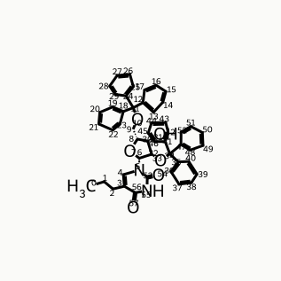 CCCc1cn([C@@H]2O[C@H](COC(c3ccccc3)(c3ccccc3)c3ccccc3)[C@@H](O)[C@H]2OC(c2ccccc2)(c2ccccc2)c2ccccc2)c(=O)[nH]c1=O